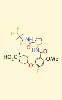 COc1cc(F)c(OC2CCC(C)(C(=O)O)CC2)cc1C(=O)NC1CCCC1C(=O)NC(F)C(C)(C)C(F)F